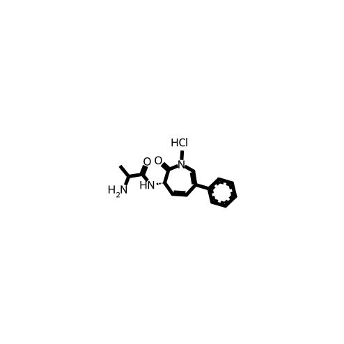 CC(N)C(=O)N[C@H]1C=CC(c2ccccc2)=CN(C)C1=O.Cl